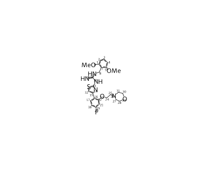 COc1cccc(OC)c1CNC(=N)Nc1nc(-c2ccc(F)cc2OCCN2CCOCC2)cs1